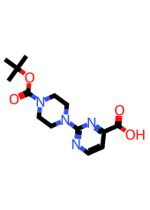 CC(C)(C)OC(=O)N1CCN(c2nccc(C(=O)O)n2)CC1